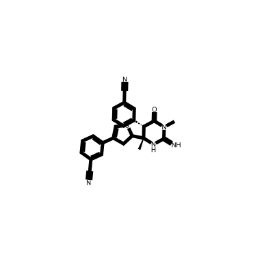 CN1C(=N)N[C@](C)(C2CC(c3cccc(C#N)c3)=CS2)[C@H](c2cccc(C#N)c2)C1=O